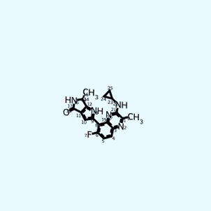 Cc1nc2ccc(F)c(-c3cc4c([nH]3)[C@H](C)NC4=O)c2nc1NC1CC1